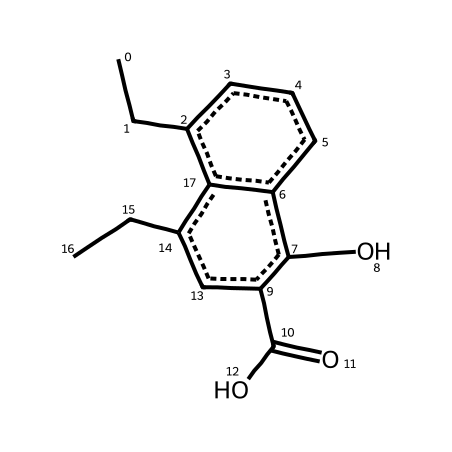 CCc1cccc2c(O)c(C(=O)O)cc(CC)c12